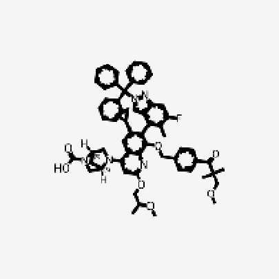 COCC(C)(C)C(=O)c1ccc(COc2c(-c3c(C)c(F)cc4nn(C(c5ccccc5)(c5ccccc5)c5ccccc5)cc34)c(C3CC3)cc3c(N4C[C@@H]5C[C@H]4CN5C(=O)O)cc(OCC(C)OC)nc23)cc1